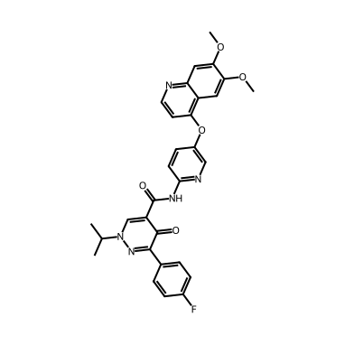 COc1cc2nccc(Oc3ccc(NC(=O)c4cn(C(C)C)nc(-c5ccc(F)cc5)c4=O)nc3)c2cc1OC